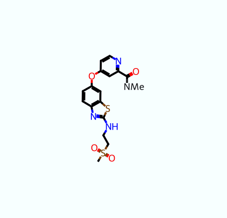 CNC(=O)c1cc(Oc2ccc3nc(NCCS(C)(=O)=O)sc3c2)ccn1